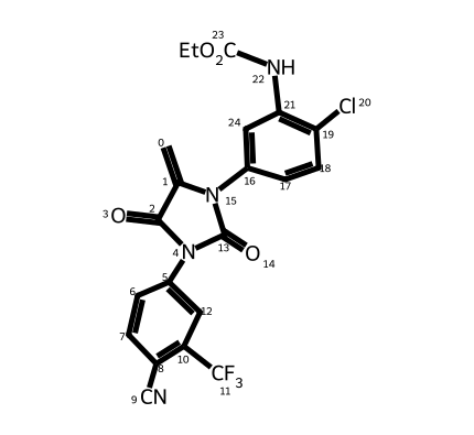 C=C1C(=O)N(c2ccc(C#N)c(C(F)(F)F)c2)C(=O)N1c1ccc(Cl)c(NC(=O)OCC)c1